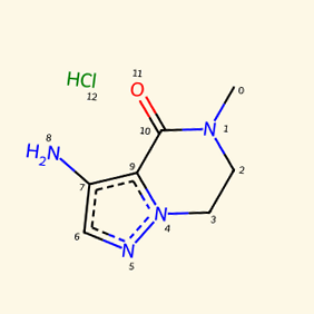 CN1CCn2ncc(N)c2C1=O.Cl